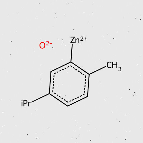 Cc1ccc(C(C)C)c[c]1[Zn+2].[O-2]